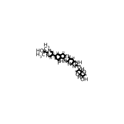 CC(C)(O)c1ncc(-c2cc(F)c3c(c2)CC[C@@H]3Nc2nc3nc(O[C@@H]4CO[C@H]5[C@@H]4OC[C@H]5O)[nH]c3cc2Cl)cn1